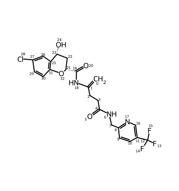 C=C(CCC(=O)NCc1ccc(C(F)(F)F)cn1)NC(=O)[C@H]1C[C@@H](O)c2cc(Cl)ccc2O1